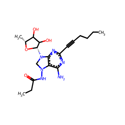 CCCCC#Cc1nc(N)c2c(n1)N([C@@H]1O[C@H](C)C(O)C1O)CN2NC(=O)CC